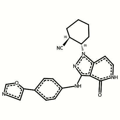 N#C[C@H]1CCCC[C@@H]1n1nc(Nc2ccc(-c3cnco3)cc2)c2c(=O)[nH]ccc21